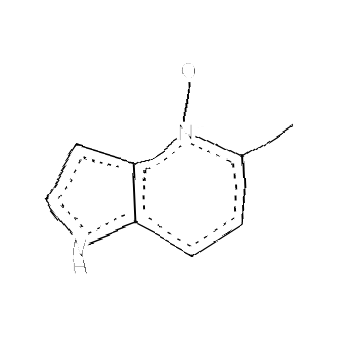 Cc1ccc2[nH]ccc2[n+]1[O-]